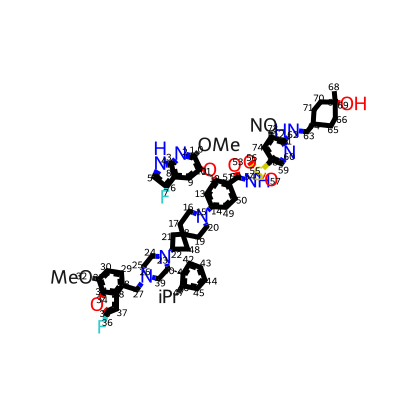 COc1nc2[nH]cc(F)c2cc1Oc1cc(N2CCC3(CC2)CC(N2CCN(Cc4ccc(OC)c5oc(F)cc45)C[C@H]2c2ccccc2C(C)C)C3)ccc1C(=O)NS(=O)(=O)c1cnc(NCC2CCC(C)(O)CC2)c([N+](=O)[O-])c1